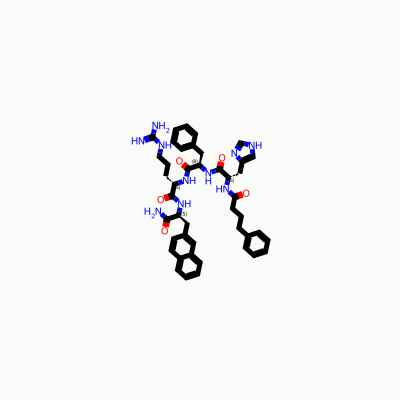 N=C(N)NCCC[C@H](NC(=O)[C@@H](Cc1ccccc1)NC(=O)[C@H](Cc1c[nH]cn1)NC(=O)CCCc1ccccc1)C(=O)N[C@@H](Cc1ccc2ccccc2c1)C(N)=O